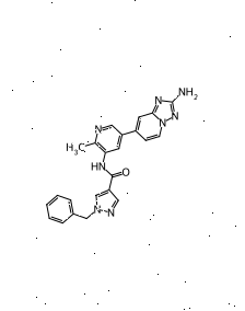 Cc1ncc(-c2ccn3nc(N)nc3c2)cc1NC(=O)c1cnn(Cc2ccccc2)c1